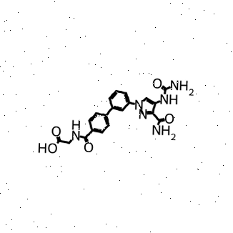 NC(=O)Nc1cn(-c2cccc(-c3ccc(C(=O)NCC(=O)O)cc3)c2)nc1C(N)=O